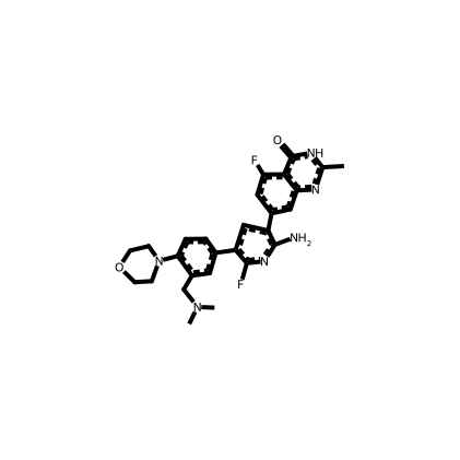 Cc1nc2cc(-c3cc(-c4ccc(N5CCOCC5)c(CN(C)C)c4)c(F)nc3N)cc(F)c2c(=O)[nH]1